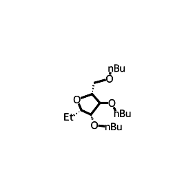 CCCCOC[C@H]1O[C@@H](CC)[C@@H](OCCCC)C1OCCCC